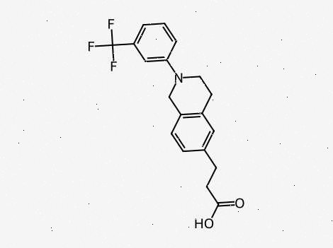 O=C(O)CCc1ccc2c(c1)CCN(c1cccc(C(F)(F)F)c1)C2